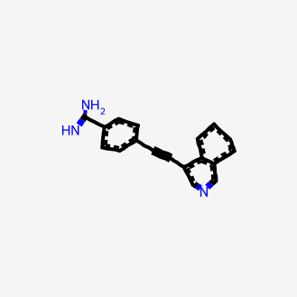 N=C(N)c1ccc(C#Cc2cncc3ccccc23)cc1